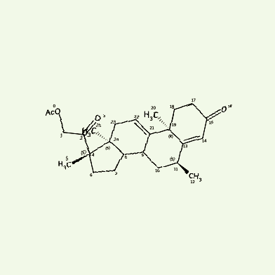 CC(=O)OCC(=O)[C@@]1(C)CCC2C3C[C@H](C)C4=CC(=O)CC[C@]4(C)C3=CC[C@@]21C